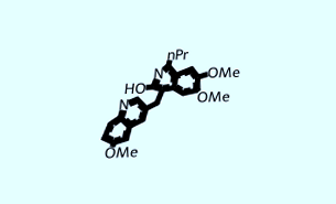 CCCc1nc(O)c(Cc2cnc3ccc(OC)cc3c2)c2cc(OC)c(OC)cc12